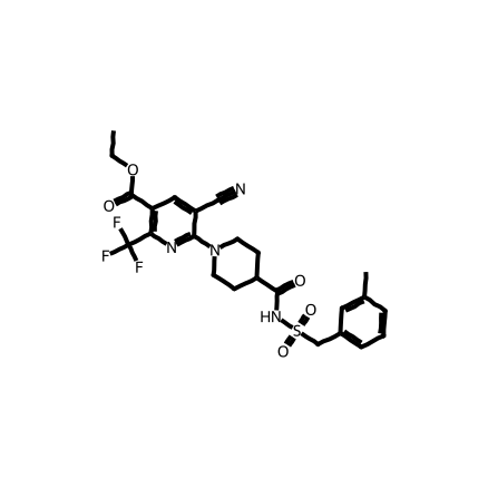 CCOC(=O)c1cc(C#N)c(N2CCC(C(=O)NS(=O)(=O)Cc3cccc(C)c3)CC2)nc1C(F)(F)F